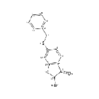 O=C1c2ccc(SCc3ccccc3)cc2CC1Br